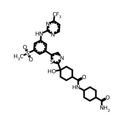 CS(=O)(=O)c1cc(Nc2nccc(C(F)(F)F)n2)cc(-c2cnc(C3(O)CCC(C(=O)NC4CCC(C(N)=O)CC4)CC3)s2)c1